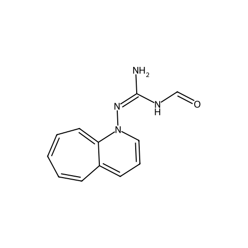 NC(=NN1C=CC=C2C=CC=CC=C21)NC=O